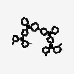 CC1=CC(N(c2ccc(N(c3ccccc3)c3ccc(C4=CC=C(N(C5=CC=CCC=C5)c5ccc(N(C6=CCCC(C)=C6)c6cccc(C)c6)cc5)C=CC4)cc3)cc2)c2cccc(C)c2)=CCC=C1